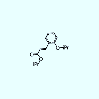 CC(C)OC(=O)C=Cc1ccccc1OC(C)C